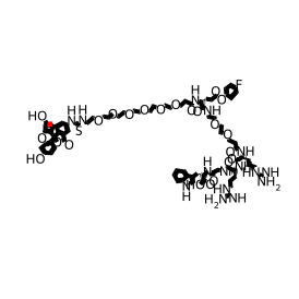 N=C(N)NCCC[C@H](NC(=O)CCOCCOCCNC(=O)[C@@H](CCC(=O)Oc1ccc(F)cc1)NC(=O)CCOCCOCCOCCOCCOCCOCCNC(=S)Nc1ccc2c(c1)C(=O)OC21c2ccc(O)cc2Oc2cc(O)ccc21)C(=O)N[C@@H](CCCNC(=N)N)C(=O)NCC(=O)N[C@@H](Cc1c[nH]c2ccccc12)C(=O)O